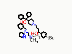 CC(C)(C)c1ccc(C(O)CCCN2CCC(C(O)(c3ccccc3)c3ccccc3)CC2)cc1.CN(C)CCN(Cc1ccccc1)c1ccccn1